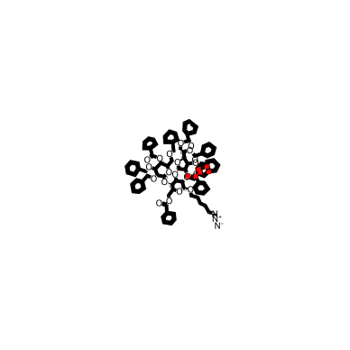 [N-]=[N+]=NCCCCCO[C@H]1OC(COC(=O)c2ccccc2)[C@H](O[C@H]2OC(COCc3ccccc3)[C@H](OC(=O)c3ccccc3)C(OCc3ccccc3)C2OCc2ccccc2)C(O[C@@H]2O[C@@H]([C@@H](COC(=O)c3ccccc3)OC(=O)c3ccccc3)C(OC(=O)c3ccccc3)C2OC(=O)c2ccccc2)C1OCc1ccccc1